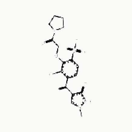 CCS(=O)(=O)c1ccc(C(=O)c2cn(C)[nH]c2=O)c(Cl)c1OCC(=O)N1CCCC1